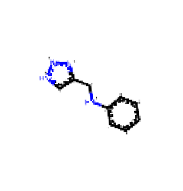 c1ccc(NCc2c[nH]nn2)cc1